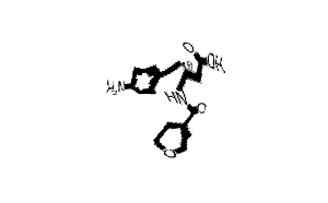 Nc1ccc(C[C@H](CC(=O)O)NC(=O)C2CCOCC2)cc1